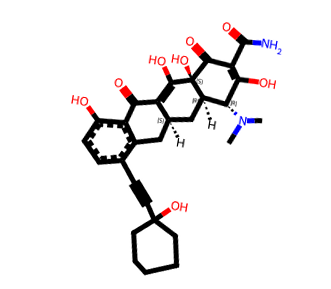 CN(C)[C@H]1C(O)=C(C(N)=O)C(=O)[C@@]2(O)C(O)=C3C(=O)c4c(O)ccc(C#CC5(O)CCCCC5)c4C[C@@H]3C[C@H]12